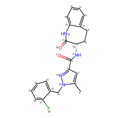 Cc1cc(C(=O)N[C@H]2CCc3ccccc3NC2=O)nn1Cc1ccccc1F